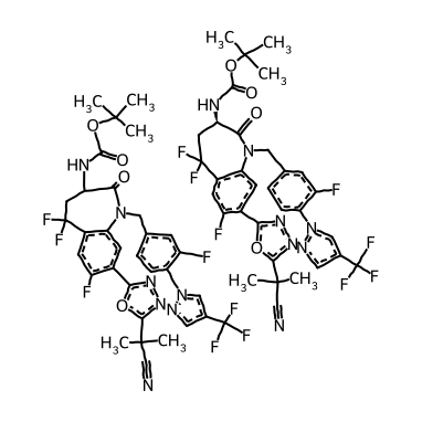 CC(C)(C)OC(=O)NC1CC(F)(F)c2cc(F)c(-c3nnc(C(C)(C)C#N)o3)cc2N(Cc2ccc(-n3cc(C(F)(F)F)cn3)c(F)c2)C1=O.CC(C)(C)OC(=O)N[C@@H]1CC(F)(F)c2cc(F)c(-c3nnc(C(C)(C)C#N)o3)cc2N(Cc2ccc(-n3cc(C(F)(F)F)cn3)c(F)c2)C1=O